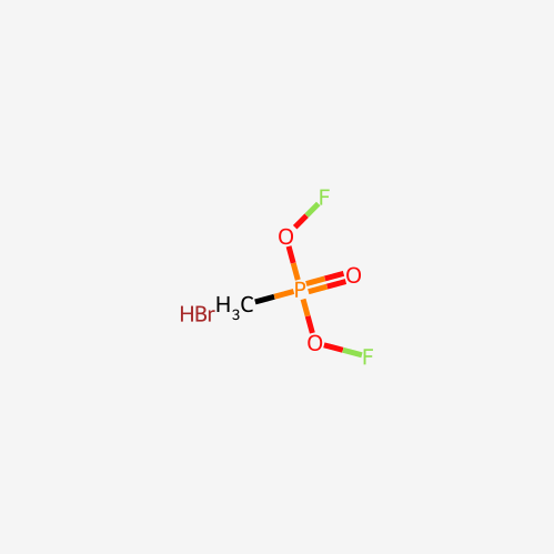 Br.CP(=O)(OF)OF